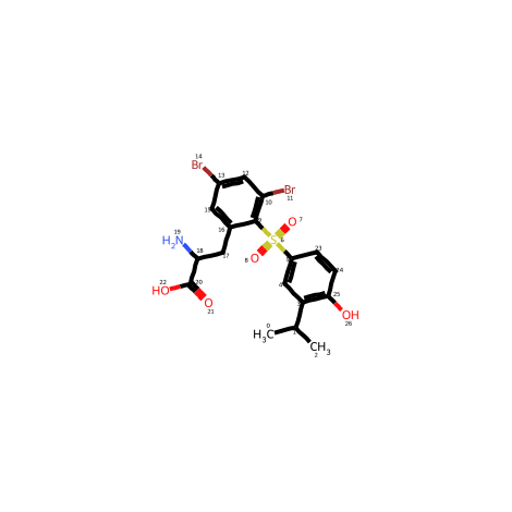 CC(C)c1cc(S(=O)(=O)c2c(Br)cc(Br)cc2CC(N)C(=O)O)ccc1O